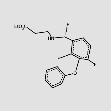 CCOC(=O)CCN[C@H](CC)c1ccc(F)c(Oc2ccccc2)c1F